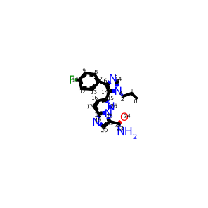 CCCn1cnc(-c2ccc(F)cc2)c1-c1ccc2ncc(C(N)=O)n2n1